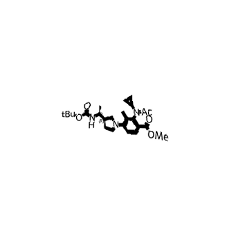 COC(=O)c1ccc(N2CC[C@@H]([C@H](C)NC(=O)OC(C)(C)C)C2)c(C)c1N(C(C)=O)C1CC1